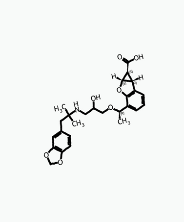 C[C@@H](OCC(O)CNC(C)(C)Cc1ccc2c(c1)OCO2)c1cccc2c1O[C@@H]1[C@@H](C(=O)O)[C@H]21